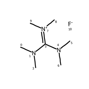 CN(C)C(N(C)C)=[N+](C)C.[F-]